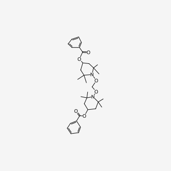 CC1(C)CC(OC(=O)c2ccccc2)CC(C)(C)N1OCON1C(C)(C)CC(OC(=O)c2ccccc2)CC1(C)C